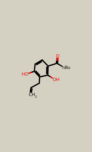 C=CCc1c(O)ccc(C(=O)CCCC)c1O